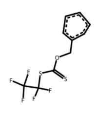 FC(F)(F)C(F)(F)SC(=S)OCc1ccccc1